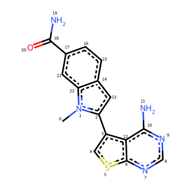 Cn1c(-c2csc3ncnc(N)c23)cc2ccc(C(N)=O)cc21